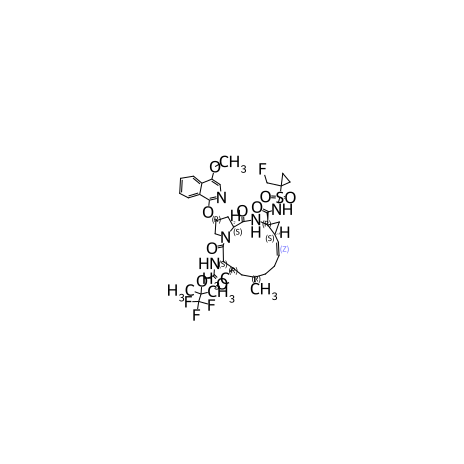 COc1cnc(O[C@@H]2C[C@H]3C(=O)N[C@]4(C(=O)NS(=O)(=O)C5(CF)CC5)C[C@H]4/C=C\CC[C@@H](C)C[C@@H](C)[C@H](NC(=O)OC(C)(C)C(F)(F)F)C(=O)N3C2)c2ccccc12